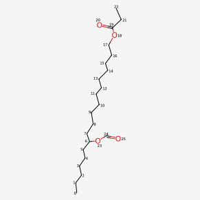 CCCCCCC(CCCCCCCCCCCOC(=O)CC)OC=O